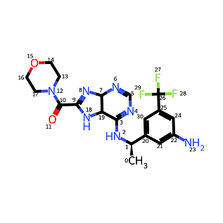 C[C@@H](NC1=NC=NC2N=C(C(=O)N3CCOCC3)NC12)c1cc(N)cc(C(F)(F)F)c1